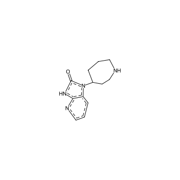 O=c1[nH]c2ncccc2n1C1CCCNCC1